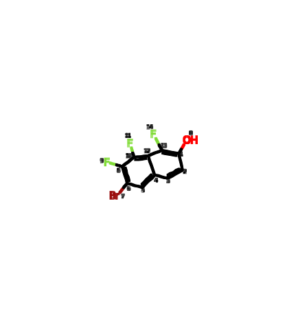 Oc1ccc2cc(Br)c(F)c(F)c2c1F